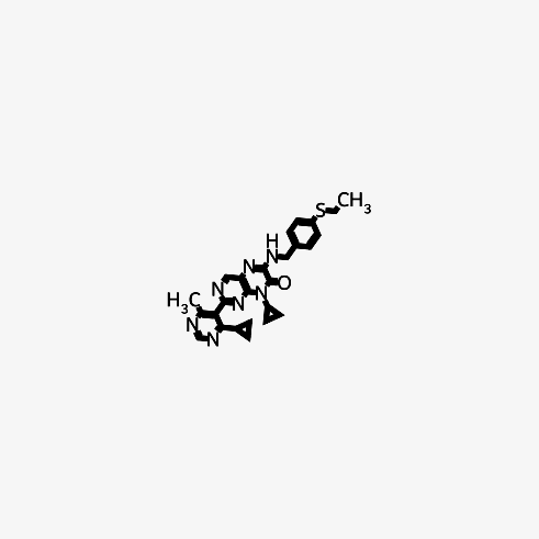 CCSc1ccc(CNc2nc3cnc(-c4c(C)ncnc4C4CC4)nc3n(C3CC3)c2=O)cc1